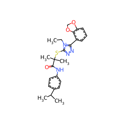 CCn1c(SC(C)(C)C(=O)Nc2ccc(C(C)C)cc2)nnc1-c1cccc2c1OCO2